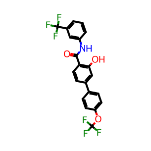 O=C(Nc1cccc(C(F)(F)F)c1)c1ccc(-c2ccc(OC(F)(F)F)cc2)cc1O